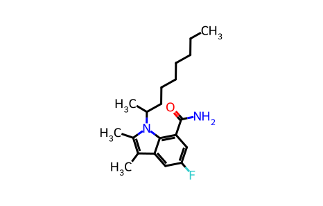 CCCCCCCC(C)n1c(C)c(C)c2cc(F)cc(C(N)=O)c21